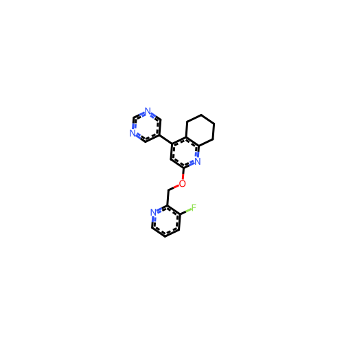 Fc1cccnc1COc1cc(-c2cncnc2)c2c(n1)CCCC2